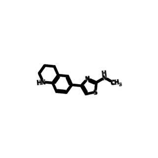 CNc1nc(-c2ccc3c(c2)CCCN3)cs1